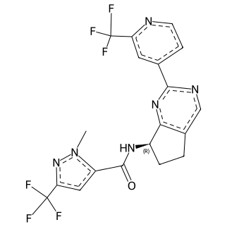 Cn1nc(C(F)(F)F)cc1C(=O)N[C@@H]1CCc2cnc(-c3ccnc(C(F)(F)F)c3)nc21